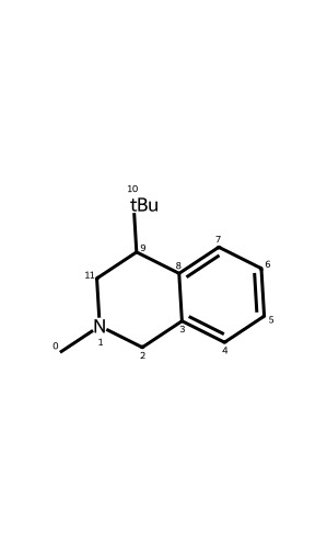 CN1Cc2ccccc2C(C(C)(C)C)C1